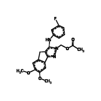 COc1cc2c(cc1OC)-c1nn(COC(C)=O)c(Nc3cccc(F)c3)c1C2